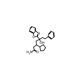 NC(=O)CC(CC(O)(CCc1ccccc1)c1nc2ccccc2o1)C1CCCC1